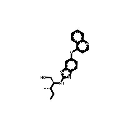 CC[C@H](C)[C@@H](CO)Nc1nc2ccc(Oc3ccnc4ccccc34)cc2s1